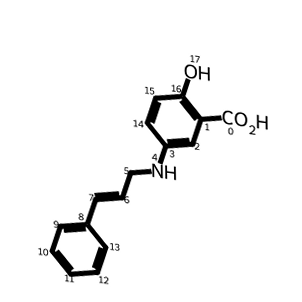 O=C(O)c1cc(NCC=Cc2ccccc2)ccc1O